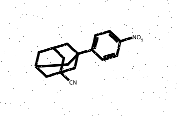 N#CC12CC3CC(C1)CC(c1ccc([N+](=O)[O-])cc1)(C3)C2